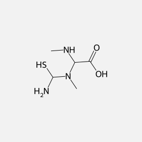 CNC(C(=O)O)N(C)C(N)S